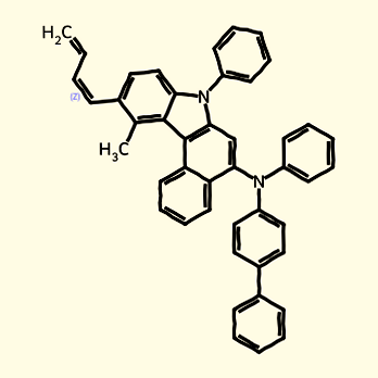 C=C/C=C\c1ccc2c(c1C)c1c3ccccc3c(N(c3ccccc3)c3ccc(-c4ccccc4)cc3)cc1n2-c1ccccc1